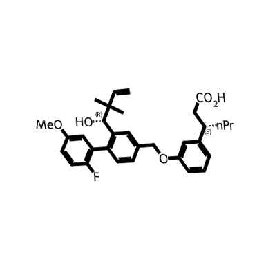 C=CC(C)(C)[C@@H](O)c1cc(COc2cccc([C@@H](CCC)CC(=O)O)c2)ccc1-c1cc(OC)ccc1F